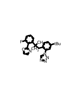 CC(C)(C)c1ccc(CC(C)(C)c2cccc(F)c2-c2ncco2)c(-n2cnnn2)c1